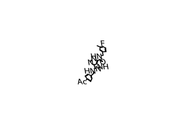 CC(=O)c1ccc(CNc2n[nH]c3c(C(=O)NCc4ccc(F)c(C)c4)ncnc23)cc1